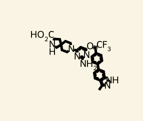 Cc1n[nH]c2cc(-c3ccc([C@@H](Oc4cc(N5CCC6(CC5)CNC(C(=O)O)C6)nc(N)n4)C(F)(F)F)cc3)ccc12